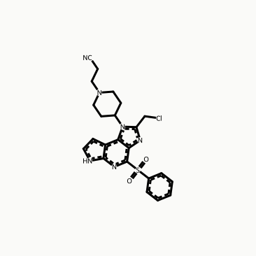 N#CCCN1CCC(n2c(CCl)nc3c(S(=O)(=O)c4ccccc4)nc4[nH]ccc4c32)CC1